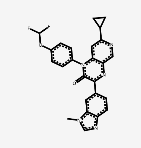 Cn1cnc2ccc(-c3nc4cnc(C5CC5)cc4n(-c4ccc(OC(F)F)cc4)c3=O)cc21